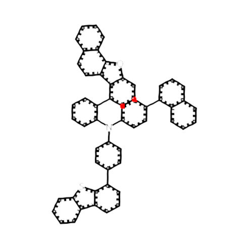 c1ccc(N(c2ccc(-c3cccc4ccccc34)cc2)c2ccc(-c3cccc4c3sc3ccccc34)cc2)c(-c2cccc3oc4c5ccccc5ccc4c23)c1